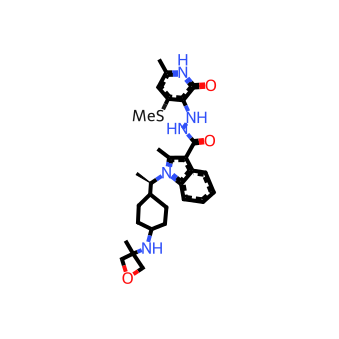 CSc1cc(C)[nH]c(=O)c1NNC(=O)c1c(C)n([C@H](C)C2CCC(NC3(C)COC3)CC2)c2ccccc12